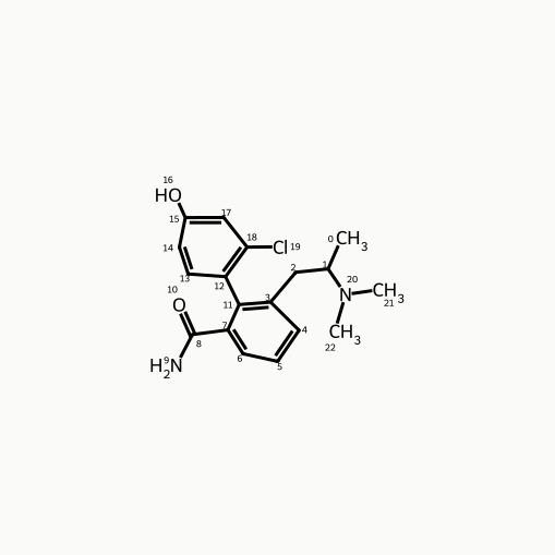 CC(Cc1cccc(C(N)=O)c1-c1ccc(O)cc1Cl)N(C)C